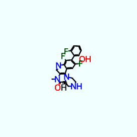 CN1C(=O)[C@H]2CNCCN2c2c1cnc1c(F)c(-c3c(O)cccc3F)c(F)cc21